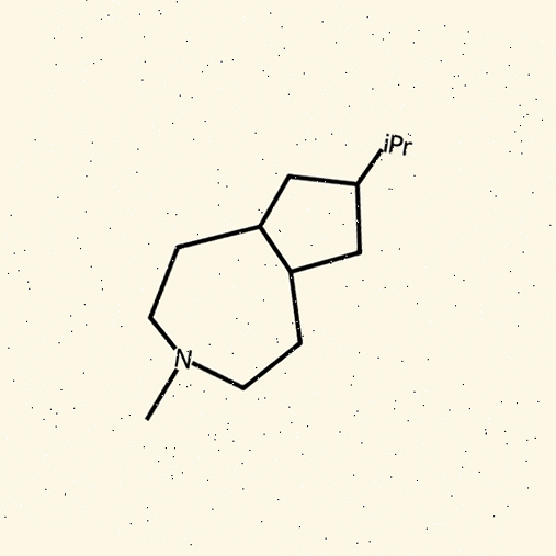 CC(C)C1CC2CCN(C)CCC2C1